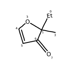 CCC1(C)OC=CC1=O